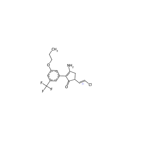 CCCOc1cc(C2=C(N)CC(/C=C/Cl)C2=O)cc(C(F)(F)F)c1